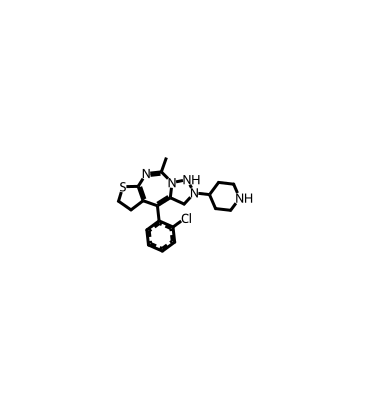 CC1=NC2=C(CCS2)C(c2ccccc2Cl)=C2CN(C3CCNCC3)NN12